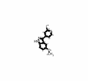 COc1ccc2[nH]nc(-c3ccnc(I)c3)c2c1